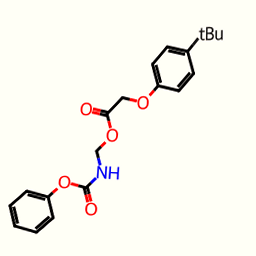 CC(C)(C)c1ccc(OCC(=O)OCNC(=O)Oc2ccccc2)cc1